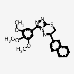 COc1cc(-c2nnc3n2N=C(c2ccc4ccccc4c2)CS3)cc(OC)c1OC